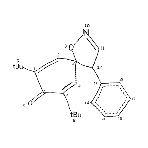 CC(C)(C)C1=CC2(C=C(C(C)(C)C)C1=O)ON=CC2c1ccccc1